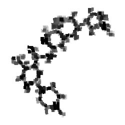 CN1CCN(c2cc(C(=O)Nc3cc4cc(-c5cnn(C)c5)cnc4cn3)c(Cl)cn2)CC1